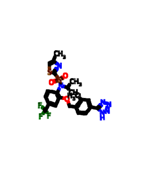 Cc1csc(S(=O)(=O)N(c2ccc(C(F)(F)F)cc2OCc2ccc(-c3nnn[nH]3)cc2C)C(C)C)n1